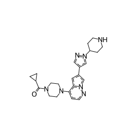 O=C(C1CC1)N1CCN(c2ccnn3cc(-c4cnn(C5CCNCC5)c4)cc23)CC1